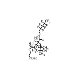 CCCCCCCCCCCCSC(=S)SC(C)(C)C(C)(CC(C)(C)C(C)(C)C#N)C(=O)OCCC(F)(F)C(F)(F)C(F)(F)C(F)(F)F